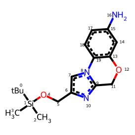 CC(C)(C)[Si](C)(C)OCc1cn2c(n1)COc1cc(N)ccc1-2